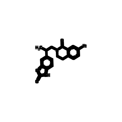 CCc1ccc2c(c1)C(=O)N(CC(C)c1ccc3[nH]c(=O)oc3c1)CC2